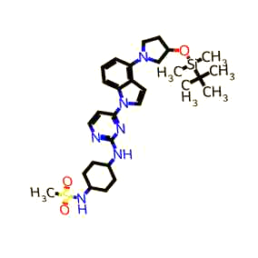 CC(C)(C)[Si](C)(C)OC1CCN(c2cccc3c2ccn3-c2ccnc(NC3CCC(NS(C)(=O)=O)CC3)n2)C1